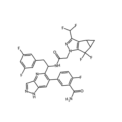 NC(=O)c1cc(-c2cc3[nH]ncc3nc2C(Cc2cc(F)cc(F)c2)NC(=O)Cn2nc(C(F)F)c3c2C(F)(F)C2CC32)ccc1F